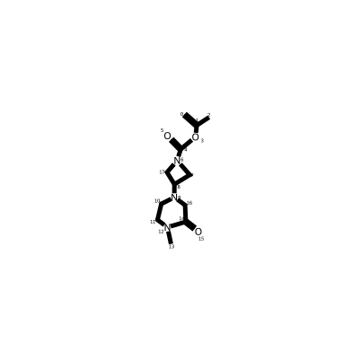 C=C(C)OC(=O)N1CC(N2CCN(C)C(=O)C2)C1